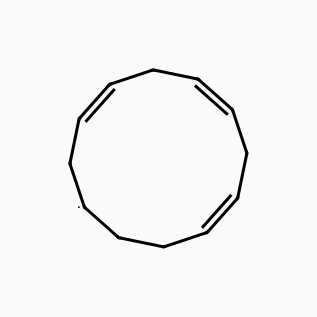 [CH]1CC=CCC=CCC=CCC1